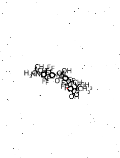 CCC(C)(C)Nc1ccc(-c2ccc(NC(=O)c3cc(C(c4ccc(C(=O)O)c(C(=O)C(C)(CC)CC)c4)(C(F)(F)F)C(F)(F)F)ccc3C(=O)O)cc2C(F)(F)F)c(C(F)(F)F)c1